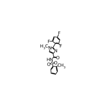 Cc1ccccc1S(=O)(=O)NC(=O)c1cn(C)c(-c2c(F)cc(F)cc2F)n1